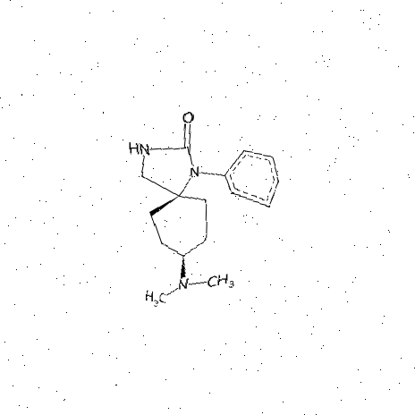 CN(C)[C@H]1CC[C@@]2(CC1)CNC(=O)N2c1ccccc1